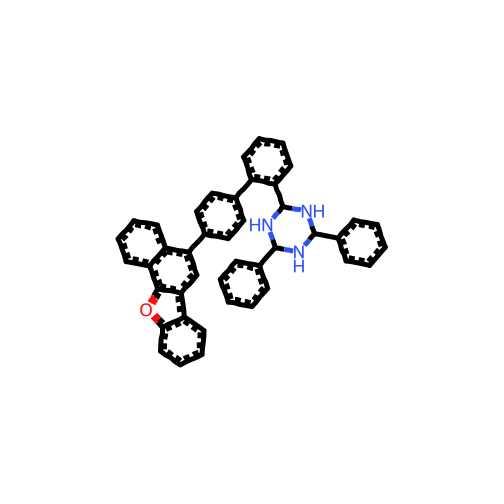 c1ccc(C2NC(c3ccccc3)NC(c3ccccc3-c3ccc(-c4cc5c6ccccc6oc5c5ccccc45)cc3)N2)cc1